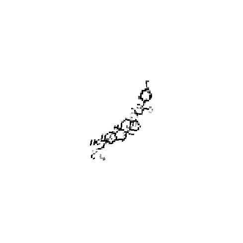 COCC1(O)CC[C@@]2(C)C(CC[C@H]3[C@@H]4CC[C@H](C(=O)CS(=O)(=O)c5ccc(F)cc5)[C@@]4(C)CC[C@@H]32)C1